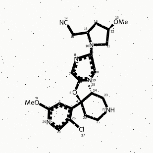 COc1cc([C@@]2(Oc3cnc(N4C[C@H](OC)CC4CC#N)cn3)CCNC[C@H]2C)c(Cl)cn1